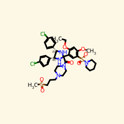 CCOc1cc(OC)c(S(=O)(=O)N2CCCCC2)cc1C1(C(=O)N2CCN(CCCS(C)(=O)=O)CC2)N[C@H](c2ccc(Cl)cc2)[C@H](c2ccc(Cl)cc2)N1